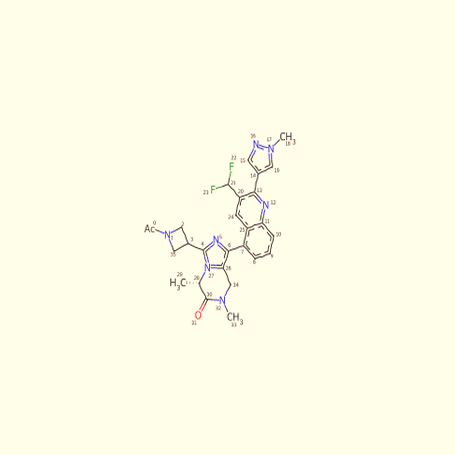 CC(=O)N1CC(c2nc(-c3cccc4nc(-c5cnn(C)c5)c(C(F)F)cc34)c3n2[C@@H](C)C(=O)N(C)C3)C1